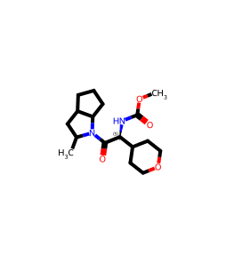 COC(=O)N[C@H](C(=O)N1C(C)CC2CCCC21)C1CCOCC1